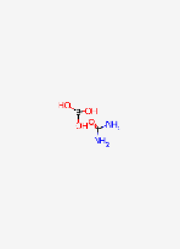 NC(N)=O.OB(O)O